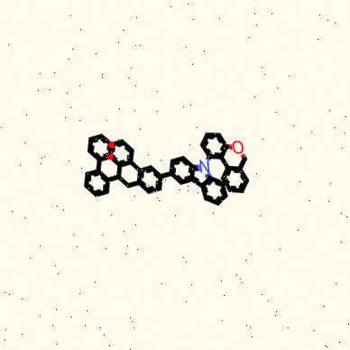 c1ccc(-c2ccccc2C2Cc3ccc(-c4ccc5c(c4)c4ccccc4n5-c4cccc5c4-c4ccccc4CO5)cc3-c3ccccc32)cc1